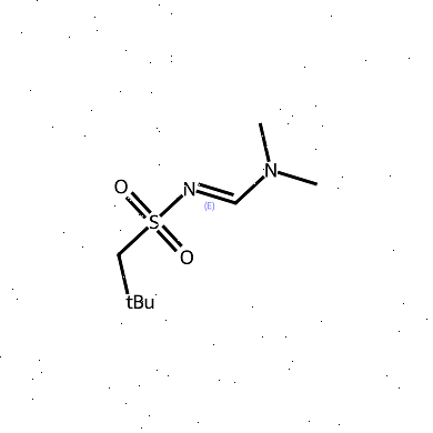 CN(C)/C=N/S(=O)(=O)CC(C)(C)C